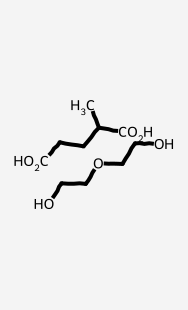 CC(CCC(=O)O)C(=O)O.OCCOCCO